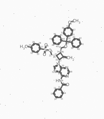 C=C1[C@@H](n2cnc3c(NC(=O)c4ccccc4)ncnc32)[C@H](COS(=O)(=O)c2ccc(C)cc2)[C@H]1COC(c1ccccc1)(c1ccccc1)c1ccc(OC)cc1